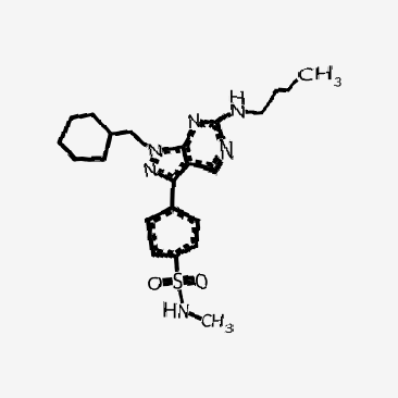 CCCCNc1ncc2c(-c3ccc(S(=O)(=O)NC)cc3)nn(CC3CCCCC3)c2n1